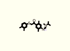 Cc1ccc(SCC(=O)c2cc(C)c(/N=C\N(C)C(C)C)cc2C)cc1C